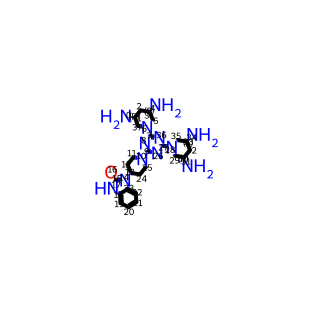 N[C@@H]1C[C@H](N)CN(c2nc(N3CCC(n4c(=O)[nH]c5ccccc54)CC3)nc(N3C[C@H](N)C[C@H](N)C3)n2)C1